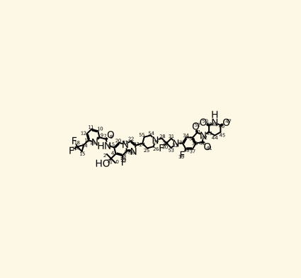 CC(C)(O)c1c(NC(=O)c2cccc(C3CC3(F)F)n2)cn2cc(C3CCN(CC4(F)CN(c5cc6c(cc5F)C(=O)N(C5CCC(=O)NC5=O)C6=O)C4)CC3)nc2c1F